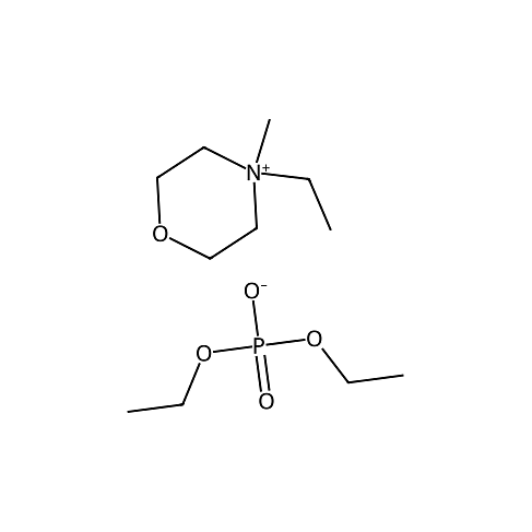 CCOP(=O)([O-])OCC.CC[N+]1(C)CCOCC1